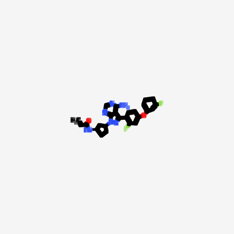 C=CC(=O)N[C@H]1CC[C@H](n2nc(-c3ccc(Oc4cccc(F)c4)cc3F)c3c(N)ncnc32)C1